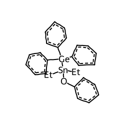 C[CH2][Sn]([CH2]C)([O]c1ccccc1)[Ge]([c]1ccccc1)([c]1ccccc1)[c]1ccccc1